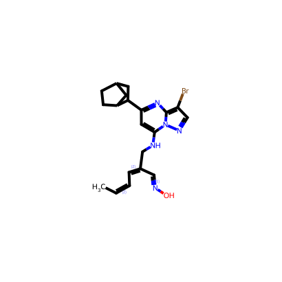 C\C=C/C=C(\C=N\O)CNc1cc(C2CC3CCC2C3)nc2c(Br)cnn12